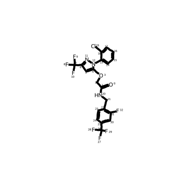 O=C(COc1cc(C(F)(F)F)nn1-c1ccccc1Cl)NCc1ccc(C(F)(F)F)cc1F